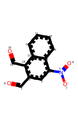 O=Cc1cc([N+](=O)[O-])c2ccccc2c1C=O